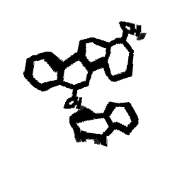 Cc1cc2c3c(ccc2c2ccccc12)C(C)CCC3.c1ccc2nnccc2c1